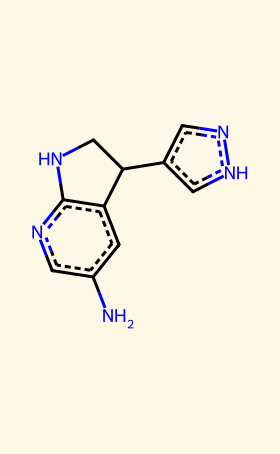 Nc1cnc2c(c1)C(c1cn[nH]c1)CN2